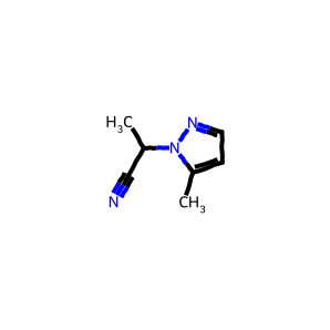 Cc1ccnn1C(C)C#N